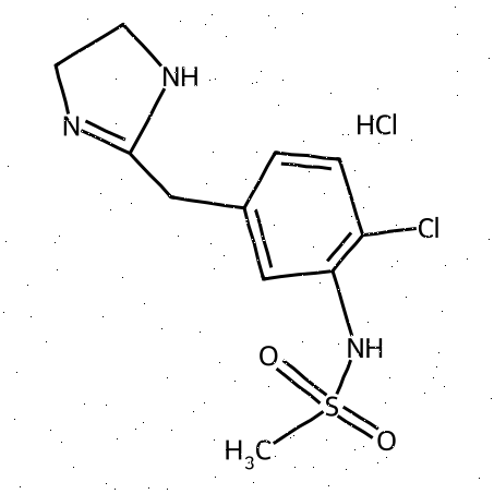 CS(=O)(=O)Nc1cc(CC2=NCCN2)ccc1Cl.Cl